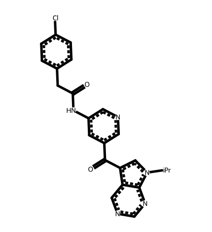 CC(C)n1cc(C(=O)c2cncc(NC(=O)Cc3ccc(Cl)cc3)c2)c2cncnc21